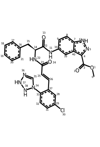 COC(=O)c1n[nH]c2ccc(NC(=O)[C@H](Cc3ccccc3)NC(=O)/C=C/c3cc(Cl)ccc3N3C=NNN3)cc12